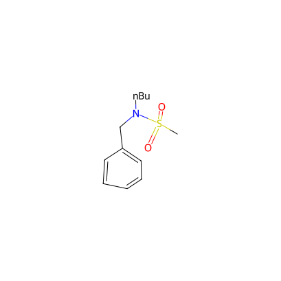 CCCCN(Cc1ccccc1)S(C)(=O)=O